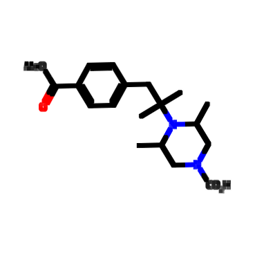 COC(=O)c1ccc(CC(C)(C)N2C(C)CN(C(=O)O)CC2C)cc1